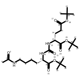 CC(=O)NCCCC[C@H](NC(=O)N[C@H](CCC(=O)OC(C)(C)C)C(=O)OC(C)(C)C)C(=O)OC(C)(C)C